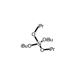 CC(C)CO[Si](OCC(C)C)(OC(C)C)OC(C)C